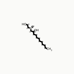 CCCCCCCCCCC(O)C[S+]([O-])CCO